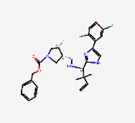 C=CC(C)(C)[C@@H](NC[C@@H]1CN(C(=O)OCc2ccccc2)C[C@@H]1F)c1nc(-c2cc(F)ccc2F)c[nH]1